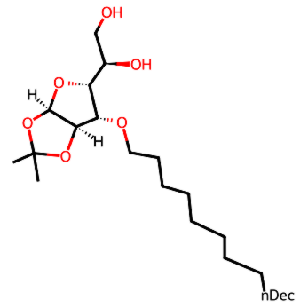 CCCCCCCCCCCCCCCCCCO[C@@H]1[C@H]2OC(C)(C)O[C@H]2O[C@@H]1[C@H](O)CO